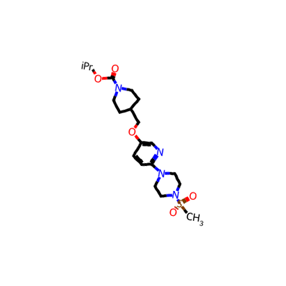 CC(C)OC(=O)N1CCC(COc2ccc(N3CCN(S(C)(=O)=O)CC3)nc2)CC1